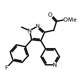 COC(=O)Cc1nn(C)c(-c2ccc(F)cc2)c1-c1ccncc1